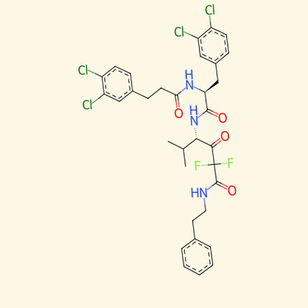 CC(C)[C@H](NC(=O)[C@H](Cc1ccc(Cl)c(Cl)c1)NC(=O)CCc1ccc(Cl)c(Cl)c1)C(=O)C(F)(F)C(=O)NCCc1ccccc1